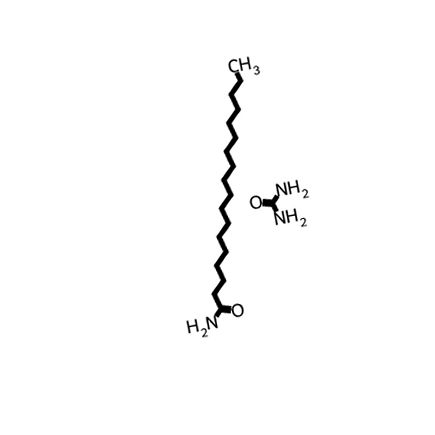 CCCCCCCCCCCCCCCCCC(N)=O.NC(N)=O